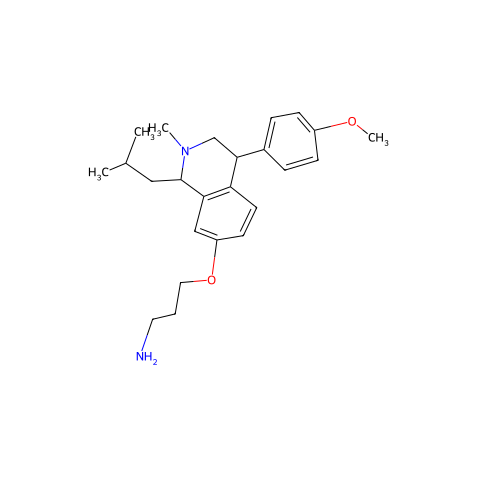 COc1ccc(C2CN(C)C(CC(C)C)c3cc(OCCCN)ccc32)cc1